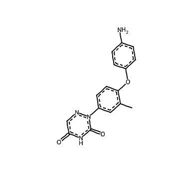 Cc1cc(-n2ncc(=O)[nH]c2=O)ccc1Oc1ccc(N)cc1